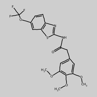 COc1cc(CC(=O)Nc2nc3ccc(OC(F)(F)F)cc3s2)cc(OC)c1OC